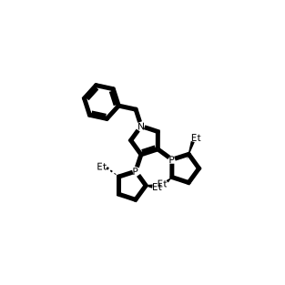 CC[C@H]1CC[C@H](CC)P1C1=C(P2[C@@H](CC)CC[C@@H]2CC)CN(Cc2ccccc2)C1